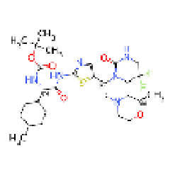 CC1CCC([C@H](NC(=O)OC(C)(C)C)C(=O)Nc2ncc([C@@H](CN3CCO[C@H](C)C3)N3CC(F)(F)CNC3=O)s2)CC1